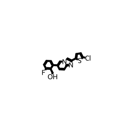 OCc1c(F)cccc1-c1ccc2nc(-c3ccc(Cl)s3)cn2c1